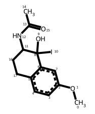 COc1ccc2c(c1)C(O)(I)C(NC(C)=O)CC2